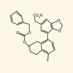 O=C(O)Cc1cc2c(c(-c3ccc(F)c4c3CN(OC(=O)OCc3ccccc3)CC4)c1)OCO2